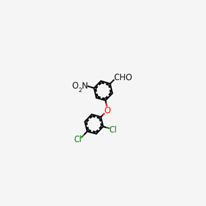 O=Cc1cc(Oc2ccc(Cl)cc2Cl)cc([N+](=O)[O-])c1